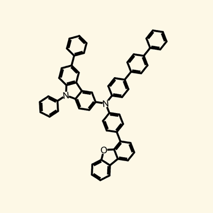 c1ccc(-c2ccc(-c3ccc(N(c4ccc(-c5cccc6c5oc5ccccc56)cc4)c4ccc5c(c4)c4cc(-c6ccccc6)ccc4n5-c4ccccc4)cc3)cc2)cc1